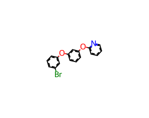 Brc1cccc(Oc2cccc(Oc3ccccn3)c2)c1